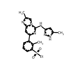 CCS(=O)(=O)c1cccc(-c2cc3nc(C)cn3c(Nc3cc(C)[nH]n3)n2)c1C